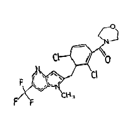 Cn1c(CC2C(Cl)=C(C(=O)N3CCOCC3)C=CC2Cl)cc2ncc(C(F)(F)F)cc21